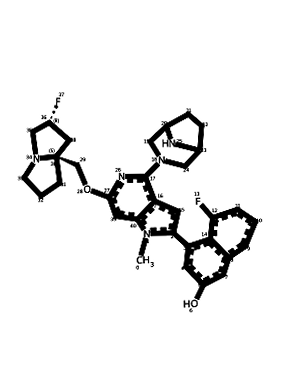 Cn1c(-c2cc(O)cc3cccc(F)c23)cc2c(N3CC4CCC(C3)N4)nc(OC[C@@]34CCCN3C[C@H](F)C4)cc21